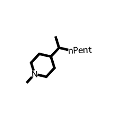 CCCCCC(C)C1CCN(C)CC1